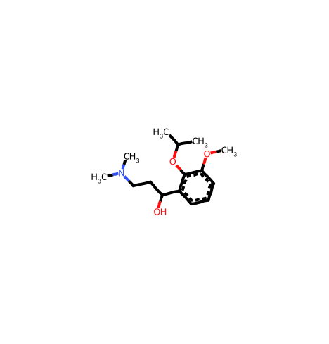 COc1cccc(C(O)CCN(C)C)c1OC(C)C